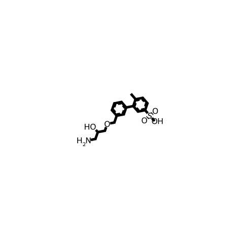 Cc1ccc(S(=O)(=O)O)cc1-c1cccc(COCC(O)CN)c1